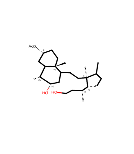 CC(=O)O[C@@H]1CC[C@]2(C)C(CC[C@@]3(C)C(C)CC[C@@H]3[C@H](C)CCO)C[C@H](O)[C@H](C)C2C1